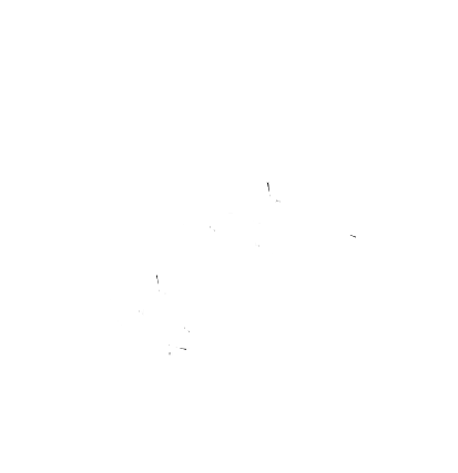 CO[C@H]1CC[C@H]([C@H](c2ccc(Cl)cc2)[C@H](N)C(=O)Nc2cccc(F)c2CC[C@H]2CN[C@@H]3CCCS(=O)(=O)N2C3)CC1